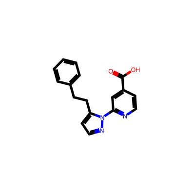 O=C(O)c1ccnc(-n2nccc2CCc2ccccc2)c1